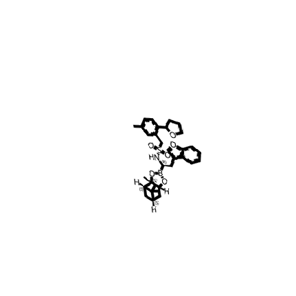 Cc1ccc(C2CCCO2)c(CS(=O)(=O)N[C@@H](Cc2coc3ccccc23)B2O[C@@H]3C[C@@H]4C[C@@H](C4(C)C)[C@]3(C)O2)c1